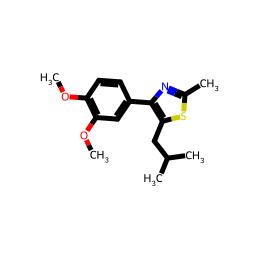 COc1ccc(-c2nc(C)sc2CC(C)C)cc1OC